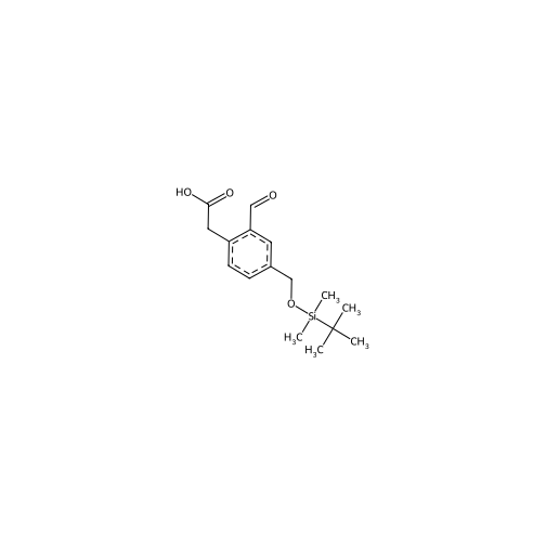 CC(C)(C)[Si](C)(C)OCc1ccc(CC(=O)O)c(C=O)c1